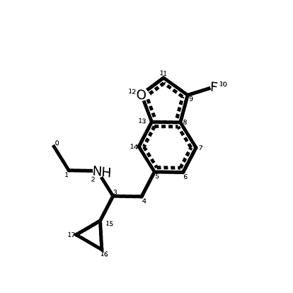 CCNC(Cc1ccc2c(F)coc2c1)C1CC1